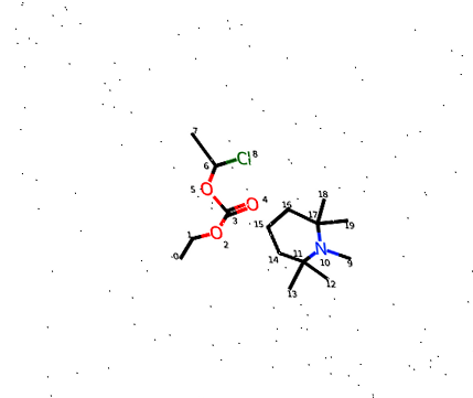 CCOC(=O)OC(C)Cl.CN1C(C)(C)CCCC1(C)C